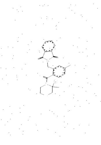 CCC1(C)COCCN1C(=O)c1ccc(C)cc1CN1C(=O)c2ccccc2C1=O